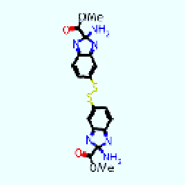 COC(=O)C1(N)N=c2ccc(SSc3ccc4c(c3)=NC(N)(C(=O)OC)N=4)cc2=N1